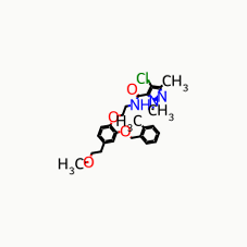 COCCc1ccc(OCCNC(=O)c2c(Cl)c(C)nn2C)c(OCc2ccccc2C)c1